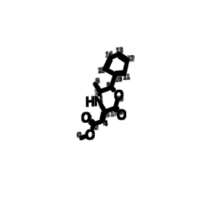 COC(=O)C=C1NC(C)C(c2ccccc2)OC1=O